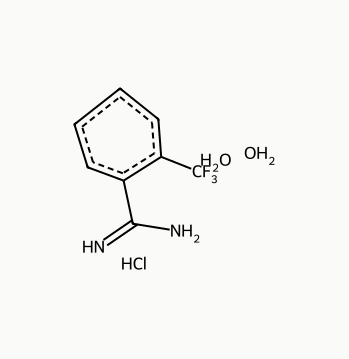 Cl.N=C(N)c1ccccc1C(F)(F)F.O.O